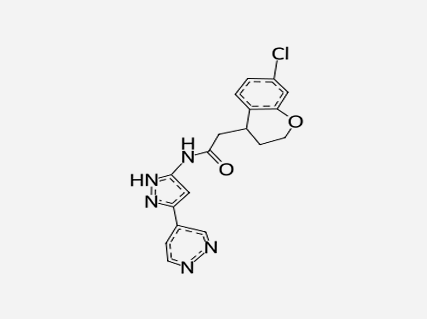 O=C(CC1CCOc2cc(Cl)ccc21)Nc1cc(-c2ccnnc2)n[nH]1